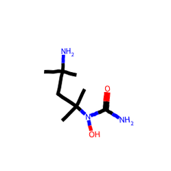 CC(C)(N)CC(C)(C)N(O)C(N)=O